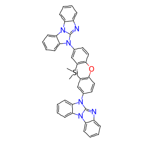 C[Si]1(C)c2cc(-n3c4ccccc4n4c5ccccc5nc34)ccc2Oc2ccc(-n3c4ccccc4n4c5ccccc5nc34)cc21